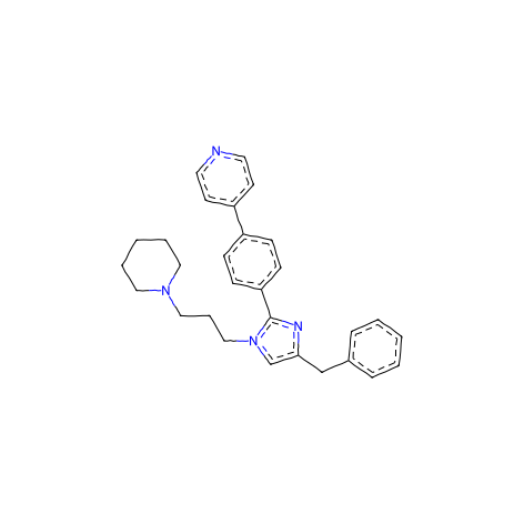 c1ccc(Cc2cn(CCCN3CCCCC3)c(-c3ccc(-c4ccncc4)cc3)n2)cc1